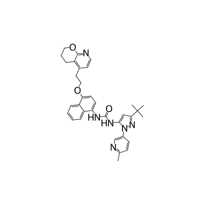 Cc1ccc(-n2nc(C(C)(C)C)cc2NC(=O)Nc2ccc(OCCc3ccnc4c3CCCO4)c3ccccc23)cn1